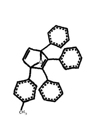 Cc1ccc(C23C=CC(c4ccccc4)(O2)C(c2ccccc2)=C3c2ccccc2)cc1